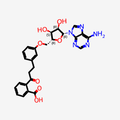 Nc1ncnc2c1ncn2[C@@H]1O[C@H](COc2cccc(CCC(=O)c3ccccc3C(=O)O)c2)[C@@H](O)[C@H]1O